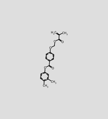 C=C(C)C(=O)OCOc1ccc(C(=O)Oc2ccc(C)c(C)c2)cc1